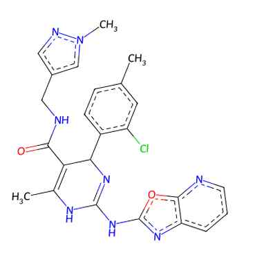 CC1=C(C(=O)NCc2cnn(C)c2)C(c2ccc(C)cc2Cl)N=C(Nc2nc3cccnc3o2)N1